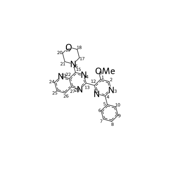 COc1cnc(-c2ccccc2)nc1-c1nc(N2CCOCC2)c2ncccc2n1